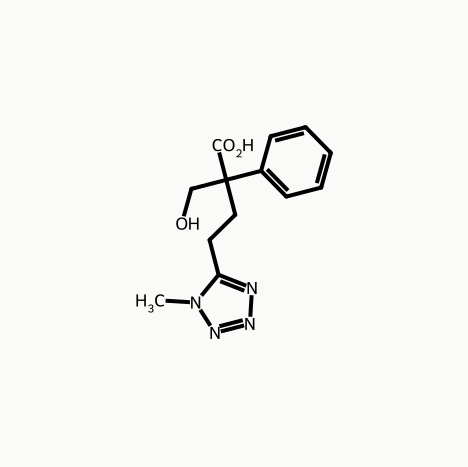 Cn1nnnc1CCC(CO)(C(=O)O)c1ccccc1